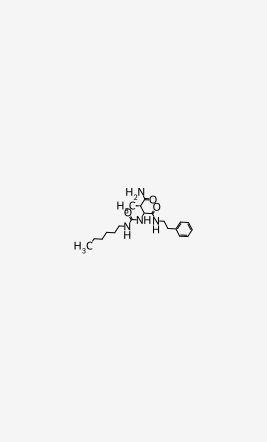 CCCCCCNC(=O)NC(C(=O)NCCc1ccccc1)[C@@H](C)C(N)=O